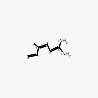 C=C/C(C)=C\C=C(N)N